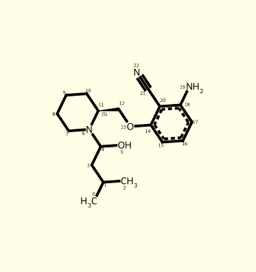 CC(C)CC(O)N1CCCC[C@H]1COc1cccc(N)c1C#N